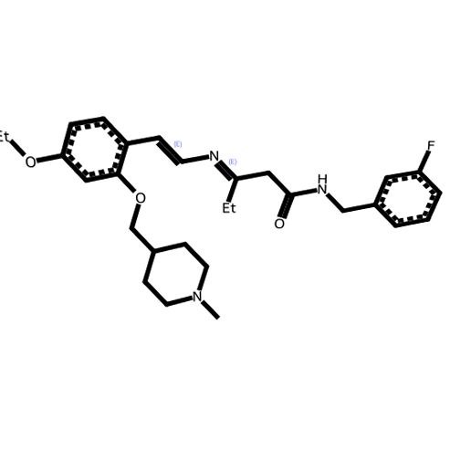 CCOc1ccc(/C=C/N=C(\CC)CC(=O)NCc2cccc(F)c2)c(OCC2CCN(C)CC2)c1